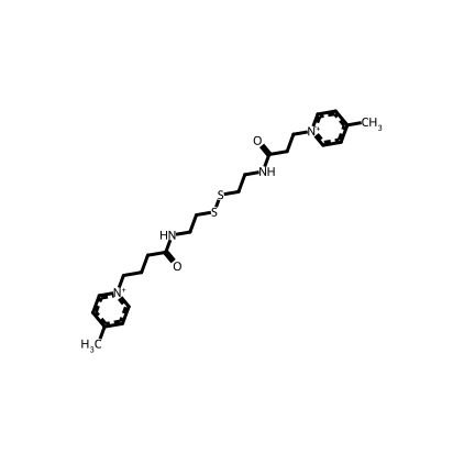 Cc1cc[n+](CCCC(=O)NCCSSCCNC(=O)CC[n+]2ccc(C)cc2)cc1